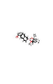 COC(=O)c1ccc2cc(B3OC(C)(C)C(C)(C)O3)ccc2c1